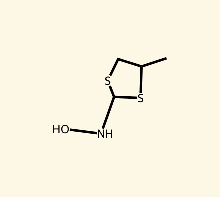 CC1CSC(NO)S1